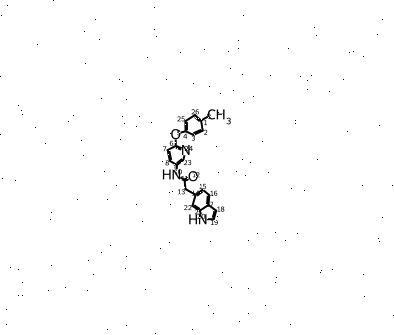 Cc1ccc(Oc2ccc(NC(=O)Cc3ccc4cc[nH]c4c3)cn2)cc1